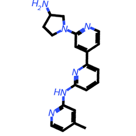 Cc1ccnc(Nc2cccc(-c3ccnc(N4CCC(N)C4)c3)n2)c1